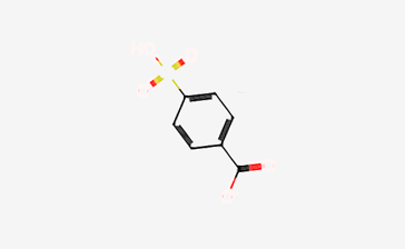 O=C([O-])c1ccc(S(=O)(=O)O)cc1.[Li+]